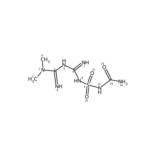 CN(C)C(=N)NC(=N)NS(=O)(=O)NC(N)=O